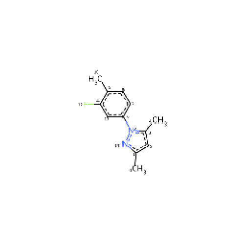 Cc1cc(C)n(-c2ccc(C)c(F)c2)n1